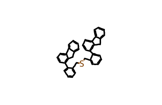 c1ccc(-c2cccc3c2Cc2ccccc2-3)c(CSCc2ccccc2-c2cccc3c2Cc2ccccc2-3)c1